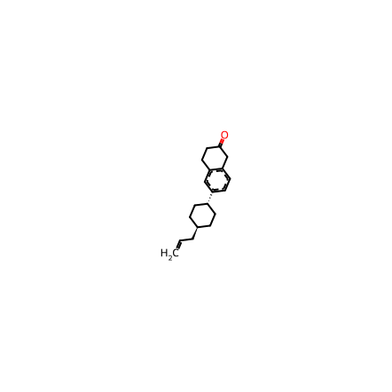 C=CC[C@H]1CC[C@H](c2ccc3c(c2)CCC(=O)C3)CC1